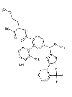 COC(c1ccc(C(=O)NC(CCSC)C(=O)O)c(-c2ccccc2C)c1)c1ccc(-c2ccccc2C(F)(F)F)o1.[LiH]